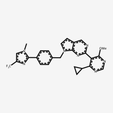 COc1ncnc(C2CC2)c1-c1ncc2ccn(Cc3ccc(-c4nc(C(F)(F)F)cn4C)cc3)c2n1